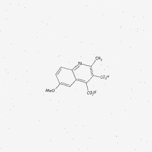 COc1ccc2nc(C)c(C(=O)O)c(C(=O)O)c2c1